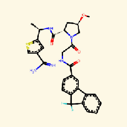 CO[C@@H]1C[C@@H](C(=O)N[C@H](C)c2cc(C(=N)N)cs2)N(C(=O)CNC(=O)c2ccc3c(c2)-c2ccccc2C3(F)F)C1